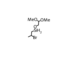 COC(CO[SiH2]CC(C)Br)OC